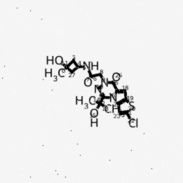 CC1(O)CC(NC(=O)Cn2nc(C(C)(C)O)n3c(cc4sc(Cl)cc43)c2=O)C1